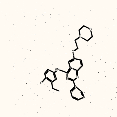 Fc1ccc(Nc2nc(-c3cccnc3)nc3ccc(OCCN4CCOCC4)cc23)cc1CI